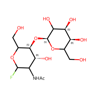 CC(=O)NC1C(F)OC(CO)[C@@H](O[C@@H]2OC(CO)[C@H](O)[C@H](O)C2O)[C@@H]1O